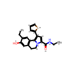 CC(C)Cc1cc2c(cc1O)CCn1c(C(=O)NCC(C)(C)C)cc(-c3cccs3)c1-2